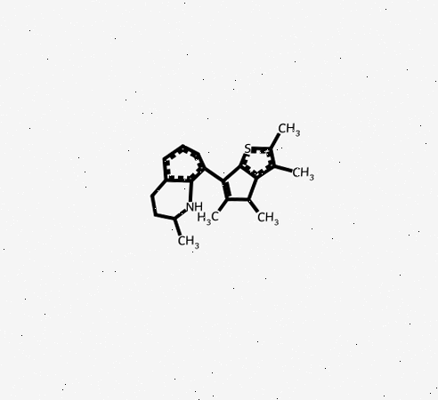 CC1=C(c2cccc3c2NC(C)CC3)c2sc(C)c(C)c2C1C